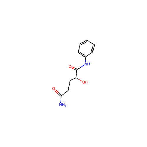 NC(=O)CCC(O)C(=O)Nc1ccccc1